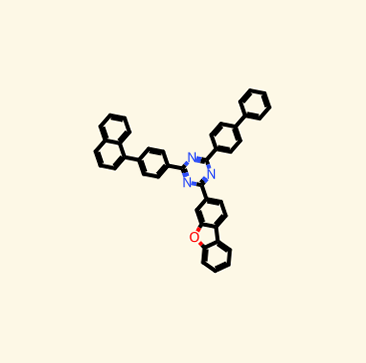 c1ccc(-c2ccc(-c3nc(-c4ccc(-c5cccc6ccccc56)cc4)nc(-c4ccc5c(c4)oc4ccccc45)n3)cc2)cc1